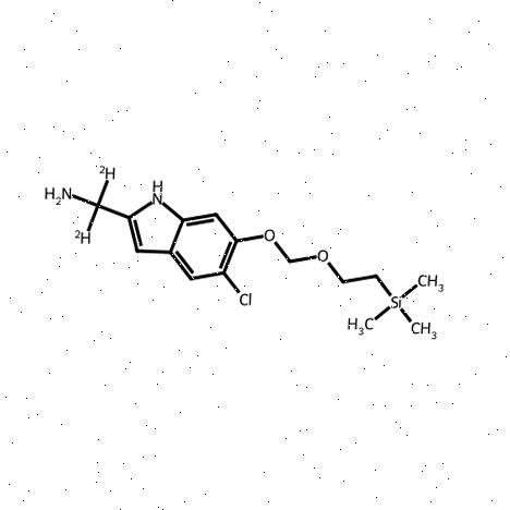 [2H]C([2H])(N)c1cc2cc(Cl)c(OCOCC[Si](C)(C)C)cc2[nH]1